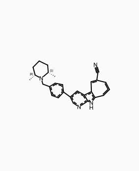 C[C@@H]1CCC[C@H](C)N1Cc1ccc(-c2cnc3[nH]c4c(c3c2)C=C(C#N)C=C=C4)cc1